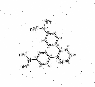 CCCN(CCC)c1ccc(-c2ncnnc2-c2ccc(N(CCC)CCC)cc2)cc1